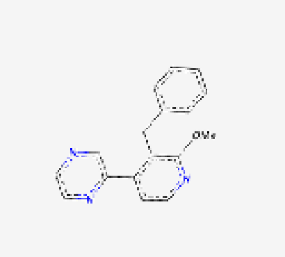 COc1nccc(-c2cnccn2)c1Cc1ccccc1